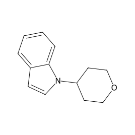 c1ccc2c(c1)ccn2C1CCOCC1